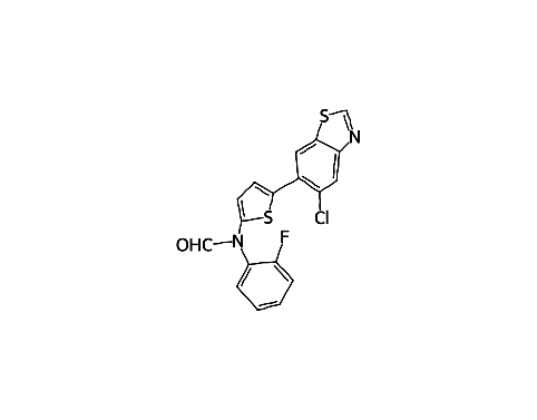 O=CN(c1ccc(-c2cc3scnc3cc2Cl)s1)c1ccccc1F